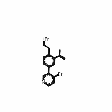 C=C(C)c1cc(-c2cnccc2CC)ccc1CCC(C)C